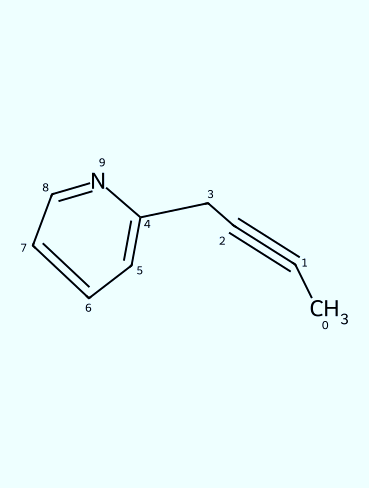 CC#CCc1ccccn1